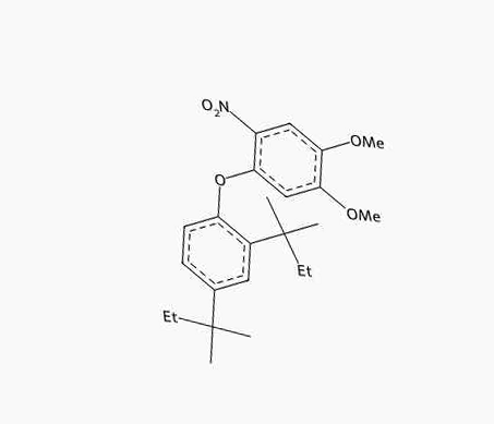 CCC(C)(C)c1ccc(Oc2cc(OC)c(OC)cc2[N+](=O)[O-])c(C(C)(C)CC)c1